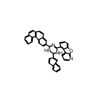 c1ccc2cc(C3NC(c4cccc5oc6ncccc6c45)=NC(c4ccc5c(ccc6ccc7ccccc7c65)c4)N3)ccc2c1